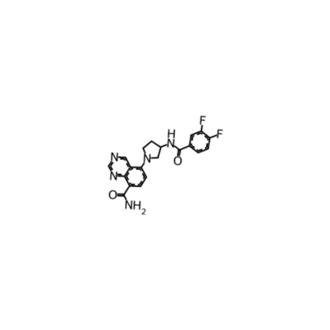 NC(=O)c1ccc(N2CCC(NC(=O)c3ccc(F)c(F)c3)C2)c2cncnc12